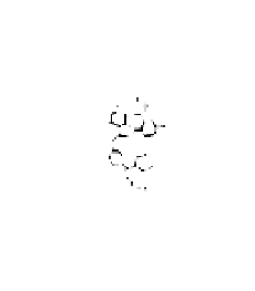 COCC[C@@H](C1CCOCC1)N1CC[C@@H](Cc2cn(-c3ccc(F)cc3C(=O)N(C)C(C)C)c3cncc(C)c23)C1